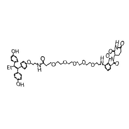 CCC(=C(c1ccc(O)cc1)c1ccc(OCCNC(=O)CCOCCOCCOCCOCCOCCNc2cccc3c2C(=O)N(C2CCC(=O)NC2=O)C3=O)cc1)c1ccc(O)cc1